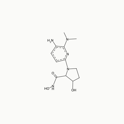 CN(C)c1nc(N2CCC(O)C2C(=O)NO)ccc1N